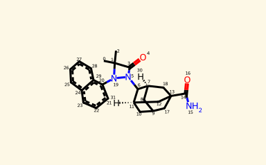 CC1(C)C(=O)N(C2[C@@H]3CC4C[C@@H]2CC(C(N)=O)(C4)C3)N1c1cccc2ccccc12